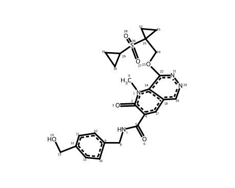 Cn1c(=O)c(C(=O)NCc2ccc(CO)cc2)cc2cnnc(OCC3(S(=O)(=O)C4CC4)CC3)c21